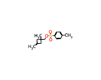 C=C1CC(C)(COS(=O)(=O)c2ccc(C)cc2)C1